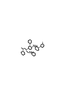 C=C(/C=C(\C=C/Nc1ccccc1)c1ccc(Nc2cccc(-c3cccc(C)c3)c2)c(-c2ccccc2)c1)c1ccccc1